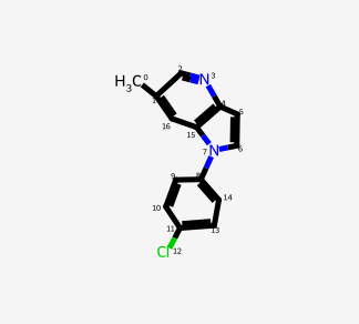 Cc1cnc2ccn(-c3ccc(Cl)cc3)c2c1